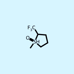 C[SH]1(=O)CCCC1C(F)(F)F